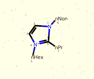 CCCCCCCCCn1cc[n+](CCCCCC)c1CCC